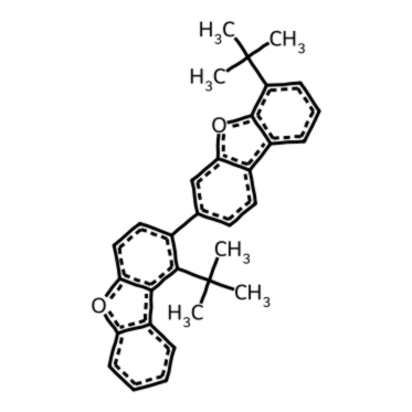 CC(C)(C)c1cccc2c1oc1cc(-c3ccc4oc5ccccc5c4c3C(C)(C)C)ccc12